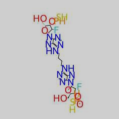 O=[PH](S)O[C@H]1[C@@H](F)[C@H](n2cnc3c(NCCCCNc4ncnc5c4ncn5C4O[C@H](CO)[C@@H](OPS)[C@H]4F)ncnc32)O[C@@H]1CO